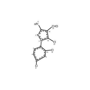 CCCc1nn(-c2ccc(Cl)cc2Cl)c(Cl)c1C=O